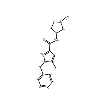 Cc1cc(C(=O)NC2CCN(C#N)C2)nn1Cc1ccccn1